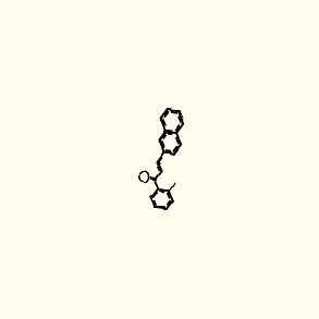 Cc1ccccc1C(=O)/C=C/c1ccc2ccccc2c1